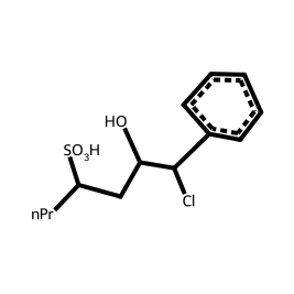 CCCC(CC(O)C(Cl)c1ccccc1)S(=O)(=O)O